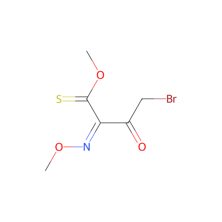 CON=C(C(=O)CBr)C(=S)OC